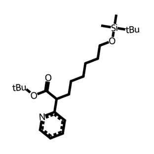 CC(C)(C)OC(=O)C(CCCCCCO[Si](C)(C)C(C)(C)C)c1ccccn1